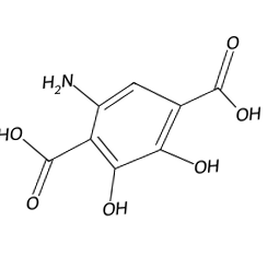 Nc1cc(C(=O)O)c(O)c(O)c1C(=O)O